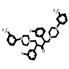 O=C(C(CN1CCN(c2cccc(C(F)(F)F)c2)CC1)c1cccc(F)c1)C(CN1CCN(c2cccc(C(F)(F)F)c2)CC1)c1cccc(F)c1